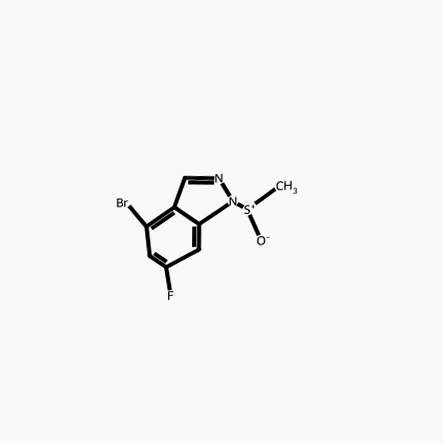 C[S+]([O-])n1ncc2c(Br)cc(F)cc21